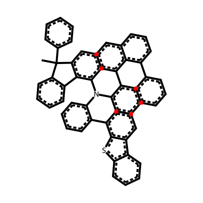 CC1(c2ccccc2)c2ccccc2-c2c(N(c3ccccc3-c3cccc4c3sc3ccccc34)c3ccccc3-c3cccc4cccc(-c5ccccc5)c34)cccc21